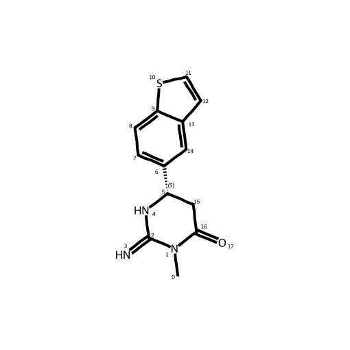 CN1C(=N)N[C@H](c2ccc3sccc3c2)CC1=O